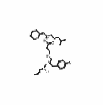 CCC[S+]([O-])C[C@H](CNCCC(=O)N[C@H](CCCC(C)C)CC1CCCCC1)Cc1ccc(Cl)cc1